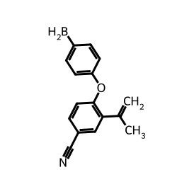 Bc1ccc(Oc2ccc(C#N)cc2C(=C)C)cc1